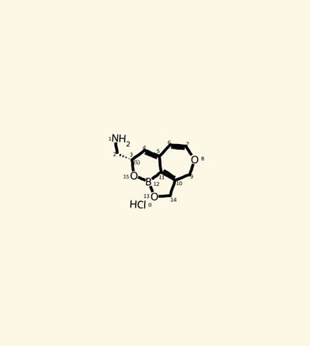 Cl.NC[C@@H]1C=C2C=COCC3=C2B(OC3)O1